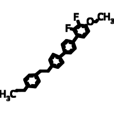 CCCc1ccc(CCc2ccc(-c3ccc(-c4ccc(OCC)c(F)c4F)cc3)cc2)cc1